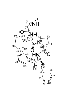 CN[C@@H](C)C(=O)N[C@H](C(=O)N1CCC[C@H]1C(=O)Nc1sc(-c2ccncc2)nc1-c1ccccc1)C1CCCCC1